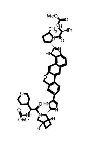 COC(=O)N[C@H](C(=O)N1[C@@H](C)CC[C@H]1c1nc2ccc3cc4c(cc3c2[nH]1)OCc1cc(-c2cnc([C@@H]3[C@@H]5CC[C@@H]5CN3C(=O)[C@@H](NC(=O)OC)C3CCOCC3)[nH]2)ccc1-4)C(C)C